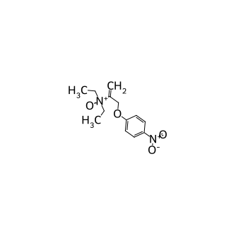 C=C(COc1ccc([N+](=O)[O-])cc1)[N+]([O-])(CC)CC